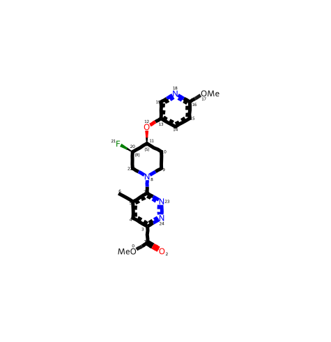 COC(=O)c1cc(C)c(N2CC[C@H](Oc3ccc(OC)nc3)[C@H](F)C2)nn1